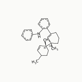 CC1C=C[C@](C)([C@]2(C)C=C(c3ccccc3Nc3ccccc3)CCC2)CC1